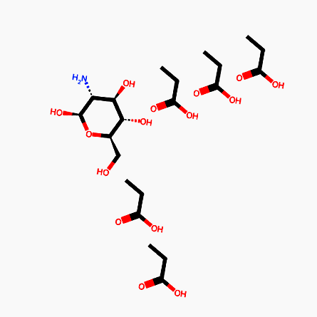 CCC(=O)O.CCC(=O)O.CCC(=O)O.CCC(=O)O.CCC(=O)O.N[C@@H]1[C@@H](O)[C@H](O)[C@@H](CO)O[C@H]1O